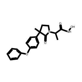 CC(C(=O)NO)N1CCC(C)(c2ccc(Oc3ccccc3)cc2)C1=O